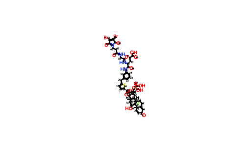 C[C@]12C=CC(=O)C=C1CC[C@H]1[C@@H]3C[C@H]4O[C@@H](c5ccc(Cc6cccc(NC(=O)[C@H](CCC(=O)O)NC(=O)CNC(=O)CCN7C(=O)C(Br)=C(Br)C7=O)c6)s5)O[C@@]4(C(=O)COP(=O)(O)O)[C@@]3(C)C[C@H](O)[C@@]12F